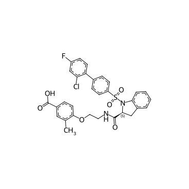 Cc1cc(C(=O)O)ccc1OCCNC(=O)[C@@H]1Cc2ccccc2N1S(=O)(=O)c1ccc(-c2ccc(F)cc2Cl)cc1